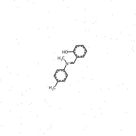 Cc1ccc(/[N+](C)=C/c2ccccc2O)cc1